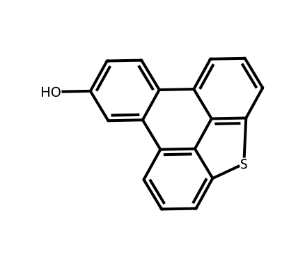 Oc1ccc2c(c1)c1cccc3sc4cccc2c4c31